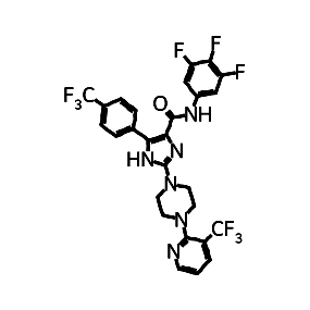 O=C(Nc1cc(F)c(F)c(F)c1)c1nc(N2CCN(c3ncccc3C(F)(F)F)CC2)[nH]c1-c1ccc(C(F)(F)F)cc1